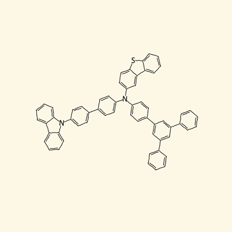 c1ccc(-c2cc(-c3ccccc3)cc(-c3ccc(N(c4ccc(-c5ccc(-n6c7ccccc7c7ccccc76)cc5)cc4)c4ccc5sc6ccccc6c5c4)cc3)c2)cc1